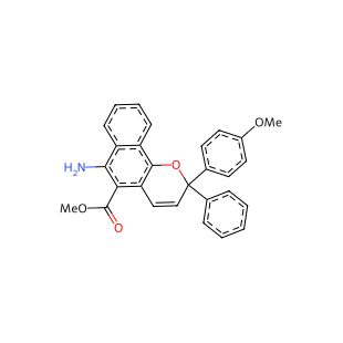 COC(=O)c1c2c(c3ccccc3c1N)OC(c1ccccc1)(c1ccc(OC)cc1)C=C2